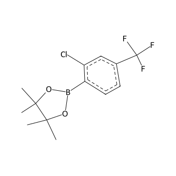 CC1(C)OB(c2ccc(C(F)(F)F)cc2Cl)OC1(C)C